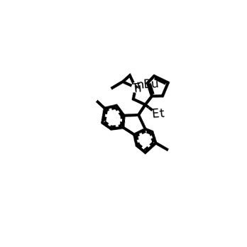 CCC[CH2][Ti]1([CH2]C(CC)(C2=CC=CC2)C2c3cc(C)ccc3-c3ccc(C)cc32)[CH2][CH]1C